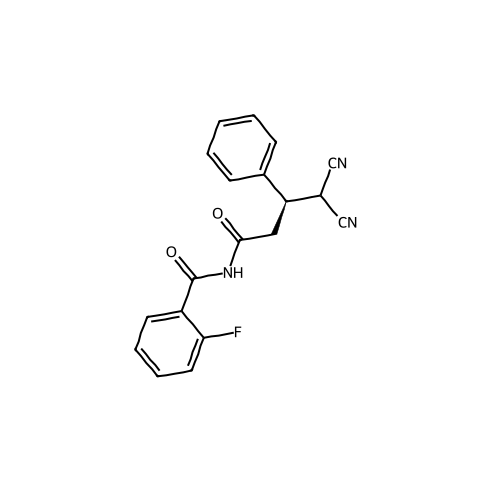 N#CC(C#N)[C@@H](CC(=O)NC(=O)c1ccccc1F)c1ccccc1